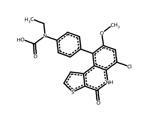 CCN(C(=O)O)c1ccc(-c2c(OC)cc(Cl)c3[nH]c(=O)c4sccc4c23)cc1